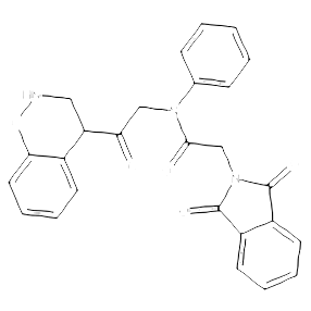 O=C(CN(C(=O)CN1C(=O)c2ccccc2C1=O)c1ccccc1)C1CNOc2ccccc21